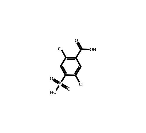 O=C(O)c1cc(Cl)c(S(=O)(=O)O)cc1Cl